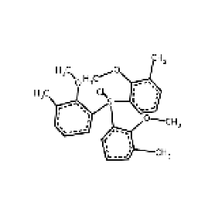 COc1c(C)cccc1[Si](Cl)(c1cccc(C)c1OC)c1cccc(C)c1OC